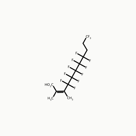 CC(C(=O)O)=C(C)C(F)(F)C(F)(F)C(F)(F)C(F)(F)C(F)(F)CCC(F)(F)F